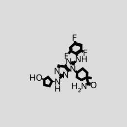 CC1(C(N)=O)CCC(n2c(Nc3c(F)cc(F)cc3F)nc3cnc(N[C@@H]4CC[C@@H](O)C4)nc32)CC1